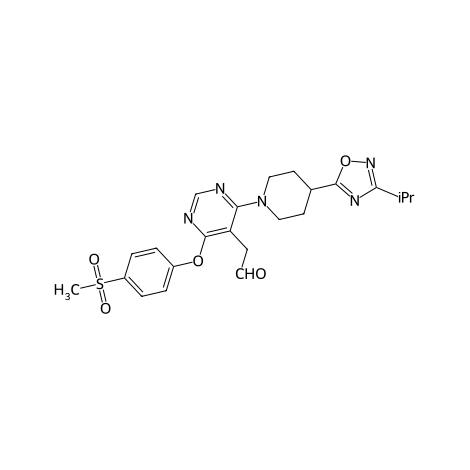 CC(C)c1noc(C2CCN(c3ncnc(Oc4ccc(S(C)(=O)=O)cc4)c3CC=O)CC2)n1